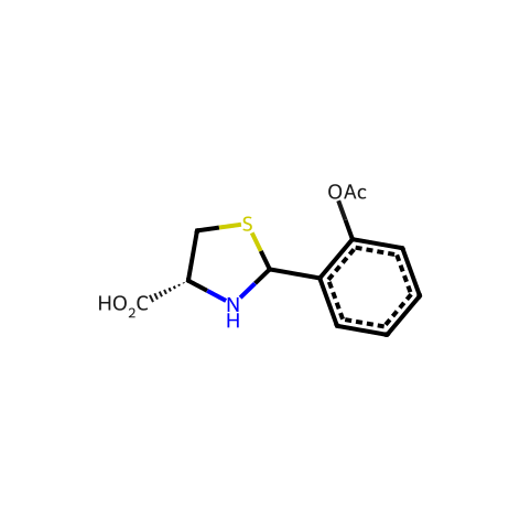 CC(=O)Oc1ccccc1C1N[C@H](C(=O)O)CS1